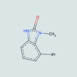 CC(C)c1cccc2[nH]c(=O)n(C)c12